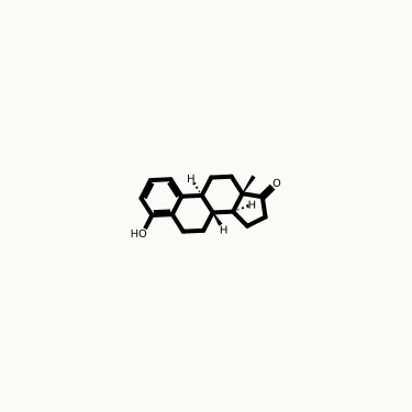 C[C@]12CC[C@@H]3c4cccc(O)c4CC[C@H]3[C@@H]1CCC2=O